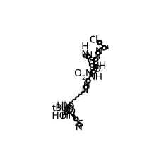 Cc1ncsc1-c1ccc(CNC(=O)[C@@H]2C[C@@H](O)CN2C(=O)[C@@H](NC(=O)CCCCCCCCCCN2CCN(C3CCC(CNc4ccc(S(=O)(=O)NC(=O)c5ccc(N6CCN(CC7=C(c8ccc(Cl)cc8)CC(C)(C)CC7)CC6)cc5Oc5cnc6[nH]ccc6c5)cc4[N+](=O)[O-])CC3)CC2)C(C)(C)C)cc1